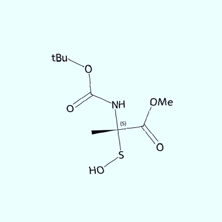 COC(=O)[C@@](C)(NC(=O)OC(C)(C)C)SO